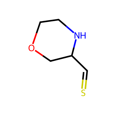 S=CC1COCCN1